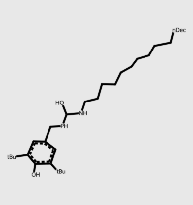 CCCCCCCCCCCCCCCCCCCCNC(O)PCc1cc(C(C)(C)C)c(O)c(C(C)(C)C)c1